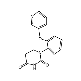 O=C1CCN(c2ccccc2Oc2cccnc2)C(=O)N1